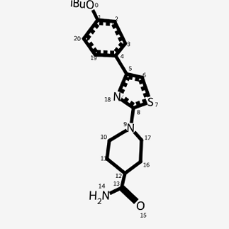 CC(C)COc1ccc(-c2csc(N3CCC(C(N)=O)CC3)n2)cc1